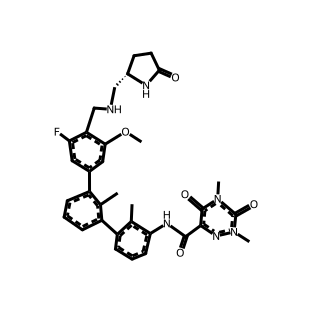 COc1cc(-c2cccc(-c3cccc(NC(=O)c4nn(C)c(=O)n(C)c4=O)c3C)c2C)cc(F)c1CNC[C@@H]1CCC(=O)N1